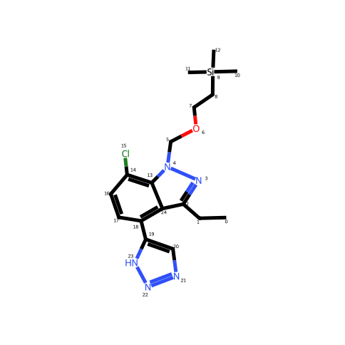 CCc1nn(COCC[Si](C)(C)C)c2c(Cl)ccc(-c3cnn[nH]3)c12